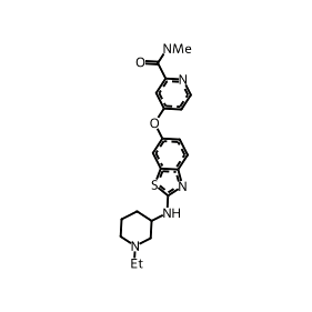 CCN1CCCC(Nc2nc3ccc(Oc4ccnc(C(=O)NC)c4)cc3s2)C1